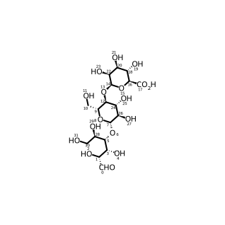 O=C[C@H](O)[C@@H](O)[C@@H](O[C@@H]1O[C@H](CO)[C@@H](O[C@@H]2O[C@H](C(=O)O)[C@@H](O)[C@H](O)[C@@H]2O)[C@H](O)[C@H]1O)[C@H](O)CO